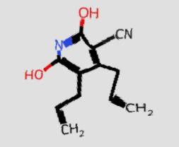 C=CCc1c(O)nc(O)c(C#N)c1CC=C